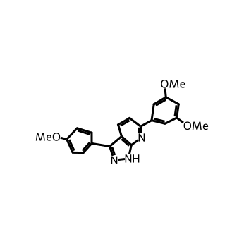 COc1ccc(-c2n[nH]c3nc(-c4cc(OC)cc(OC)c4)ccc23)cc1